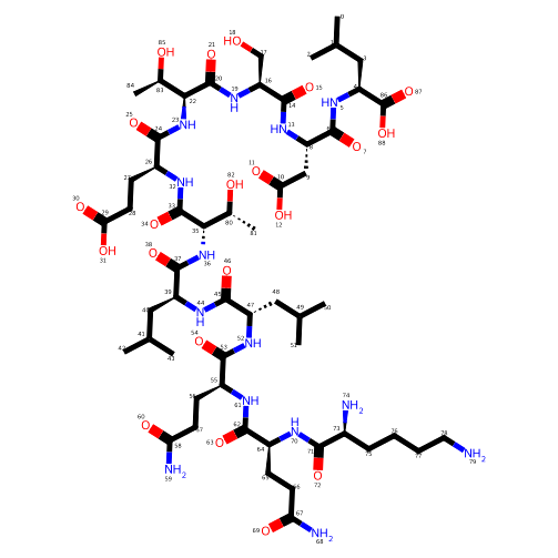 CC(C)C[C@H](NC(=O)[C@H](CC(=O)O)NC(=O)[C@H](CO)NC(=O)[C@@H](NC(=O)[C@H](CCC(=O)O)NC(=O)[C@@H](NC(=O)[C@H](CC(C)C)NC(=O)[C@H](CC(C)C)NC(=O)[C@H](CCC(N)=O)NC(=O)[C@H](CCC(N)=O)NC(=O)[C@@H](N)CCCCN)[C@@H](C)O)[C@@H](C)O)C(=O)O